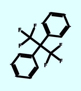 FC(F)(F)C(c1[c][c][c][c]c1)(c1[c][c][c][c]c1)C(F)(F)F